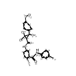 CC1(c2ccc(OC(F)(F)F)cc2)C(C(=O)Nc2ccc(Cl)c(C(=O)Nc3ccc(F)cc3)c2)C1(Cl)Cl